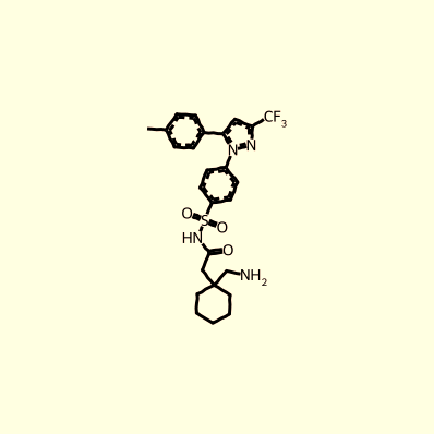 Cc1ccc(-c2cc(C(F)(F)F)nn2-c2ccc(S(=O)(=O)NC(=O)CC3(CN)CCCCC3)cc2)cc1